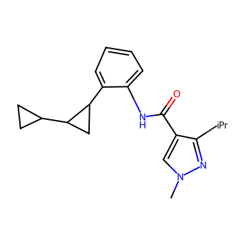 CC(C)c1nn(C)cc1C(=O)Nc1ccccc1C1CC1C1CC1